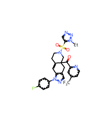 CCn1nncc1S(=O)(=O)N1CCC2=Cc3c(cnn3-c3ccc(F)cc3)CC2(C(=O)c2cc(C(F)(F)F)ccn2)C1